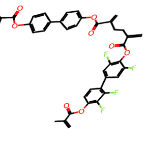 C=C(C)C(=O)Oc1ccc(-c2ccc(OC(=O)C(=C)CCC(=C)C(=O)Oc3c(F)cc(-c4ccc(OC(=O)C(=C)C)c(F)c4F)cc3F)cc2)cc1